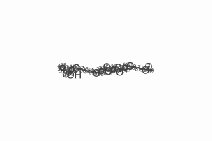 C=CC(=O)OCCCCCCOc1ccc(C(=O)Oc2ccc(OC(=O)c3ccc(OCCCCCCCCOc4ccc(C(=O)c5ccccc5)c(O)c4)cc3)cc2)cc1